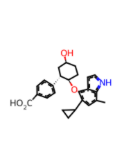 Cc1cc(C2CC2)c(O[C@@H]2CC[C@H](O)C[C@H]2c2ccc(C(=O)O)cc2)c2cc[nH]c12